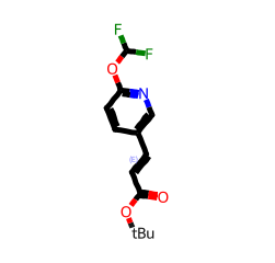 CC(C)(C)OC(=O)/C=C/c1ccc(OC(F)F)nc1